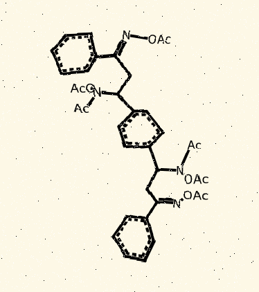 CC(=O)O/N=C(\CC(c1ccc(C(C/C(=N\OC(C)=O)c2ccccc2)N(OC(C)=O)C(C)=O)cc1)N(OC(C)=O)C(C)=O)c1ccccc1